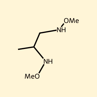 CONCC(C)NOC